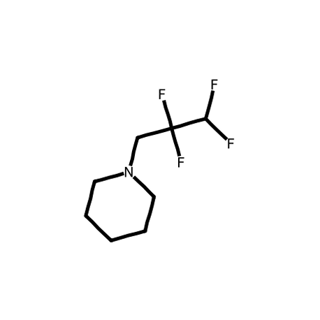 FC(F)C(F)(F)CN1CCCCC1